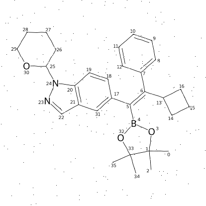 CC1(C)OB(C(=C(c2ccccc2)C2CCC2)c2ccc3c(cnn3C3CCCCO3)c2)OC1(C)C